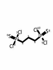 S=P(Cl)(Cl)CCCP(=S)(Cl)Cl